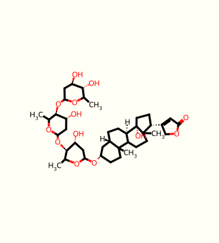 CC1OC(O[C@@H]2C(C)OC(O[C@@H]3C(C)OC(O[C@H]4CCC5(C)C6CCC7(C)[C@@H](C8=CC(=O)OC8)CC[C@]7(O)[C@@H]6CC[C@H]5C4)C[C@H]3O)C[C@H]2O)C[C@@H](O)[C@@H]1O